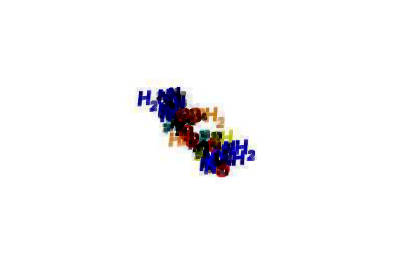 Nc1nc2c(nnn2[C@@H]2S[C@H](COPOC[C@H]3[C@H](F)[C@H](n4nnc5c(N)ncnc54)O[C@@H]3COP)[C@@H](F)[C@H]2OS)c(=O)[nH]1